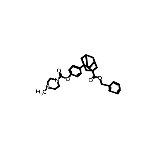 CN1CCN(C(=O)Oc2ccc(C34CC5CC(CC(C(=O)OCc6ccccc6)(C5)C3)C4)cc2)CC1